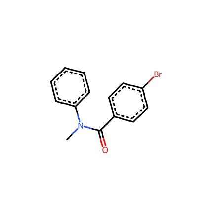 CN(C(=O)c1ccc(Br)cc1)c1ccccc1